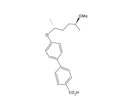 CO[C@@H](C)CC[C@@H](C)Oc1ccc(-c2ccc(C(=O)O)cc2)cc1